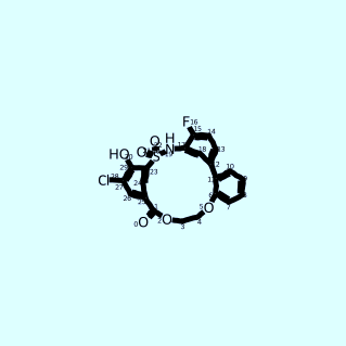 O=C1OCCOc2ccccc2-c2ccc(F)c(c2)NS(=O)(=O)c2cc1cc(Cl)c2O